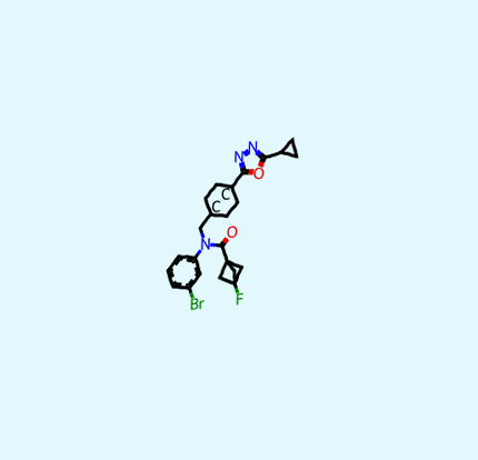 O=C(N(CC12CCC(c3nnc(C4CC4)o3)(CC1)CC2)c1cccc(Br)c1)C12CC(F)(C1)C2